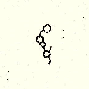 C=Cc1ccc(-c2cc3cc(CC4CCCCC4)ccc3o2)c(F)c1